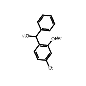 CCc1ccc(C(O)c2ccccc2)c(OC)c1